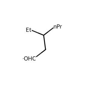 CCCC(CC)C[C]=O